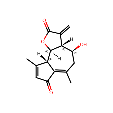 C=C1C(=O)O[C@@H]2[C@H]3C(C)=CC(=O)C3=C(C)C[C@H](O)[C@@H]12